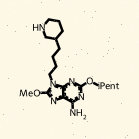 CCCC(C)Oc1nc(N)c2nc(OC)n(CCCCC3CCCNC3)c2n1